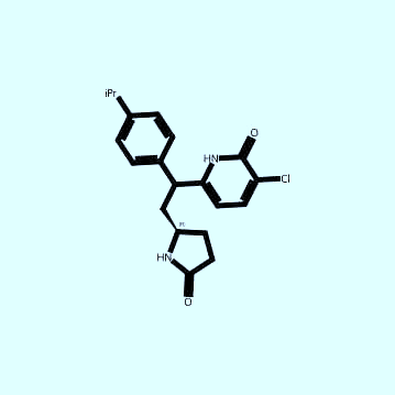 CC(C)c1ccc(C(C[C@H]2CCC(=O)N2)c2ccc(Cl)c(=O)[nH]2)cc1